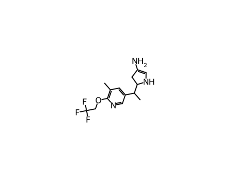 Cc1cc(C(C)C2CC(N)=CN2)cnc1OCC(F)(F)F